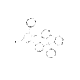 ClC1=NC(c2ccccc2)NC(c2cccc(C3(c4ccccc4)c4ccccc4-c4ccccc43)c2)=N1